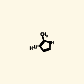 CC1=CC=CB1.[H-].[Li+]